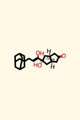 O=C1C[C@@H]2C[C@](O)(C(O)=CCC34CC5CC(CC(C5)C3)C4)C[C@@H]2C1